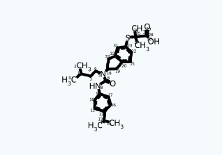 CC(C)CCN(C(=O)Nc1ccc(C(C)C)cc1)C1Cc2ccc(SC(C)(C)C(=O)O)cc2C1